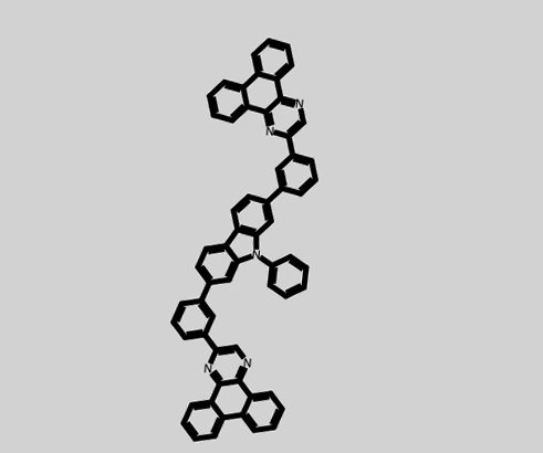 c1ccc(-n2c3cc(-c4cccc(-c5cnc6c7ccccc7c7ccccc7c6n5)c4)ccc3c3ccc(-c4cccc(-c5cnc6c7ccccc7c7ccccc7c6n5)c4)cc32)cc1